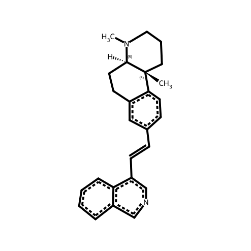 CN1CCC[C@]2(C)c3ccc(C=Cc4cncc5ccccc45)cc3CC[C@@H]12